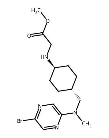 COC(=O)CN[C@H]1CC[C@H](CN(C)c2cnc(Br)cn2)CC1